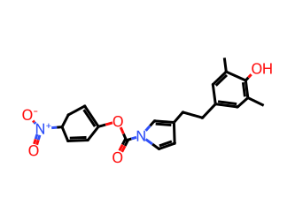 Cc1cc(CCc2ccn(C(=O)OC3=CCC([N+](=O)[O-])C=C3)c2)cc(C)c1O